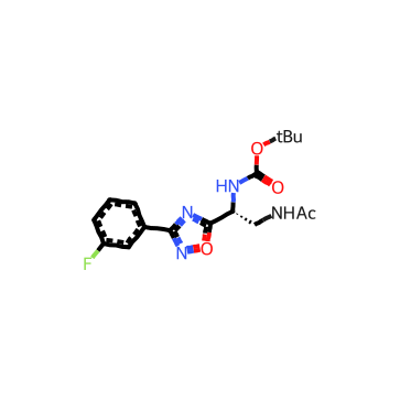 CC(=O)NC[C@@H](NC(=O)OC(C)(C)C)c1nc(-c2cccc(F)c2)no1